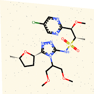 COCC(COC)n1c(NS(=O)(=O)[C@@H](C)[C@H](OC)c2ncc(Cl)cn2)nnc1[C@@H]1CC[C@H](C)O1